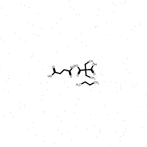 CCC(CC)(C(=O)O)C(=O)O.CCCC.O=C(O)CCC(=O)O